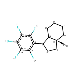 Fc1c(F)c(F)c(C2CC[C@H]3CCCCC23)c(F)c1F